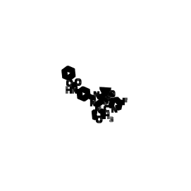 C[C@H]1COCCN1c1cc(C2(S(=O)(=O)c3cncc(F)c3)CC2)nc(-c2ccc(NC(=O)Oc3ccccc3)cc2)n1